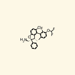 Cc1ccc(OC(F)F)c(F)c1-c1c(Cl)ccc2c1[C@H](C)[C@@](CN)(c1ccccc1)O2